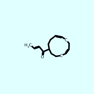 CC=CC(=O)C1CCC=CCCC=CCCC1